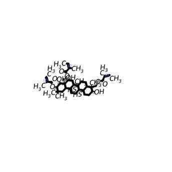 C/C=C(/C)C(=O)OC[C@@]12C(CC(C)(C)[C@@H](OC(=O)/C(C)=C\C)[C@@H]1O)C1=CCC3[C@@]4(S)CC[C@H](O)[C@](C)(COC(=O)/C(C)=C\C)C4CC[C@@]3(S)[C@]1(C)C[C@H]2O